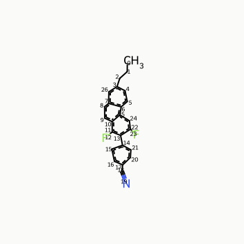 CCCc1ccc2c(ccc3c(F)c(-c4ccc(C#N)cc4)c(F)cc32)c1